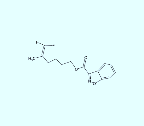 CC(CCCCOC(=O)c1noc2ccccc12)=C(F)F